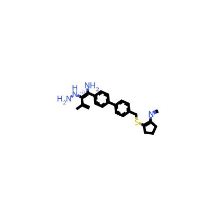 C=NC1=C(SCc2ccc(-c3ccc(/C(N)=C(/NN)C(=C)C)cc3)cc2)CCC1